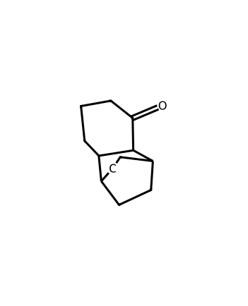 O=C1CCCC2C3CCC(CC3)C12